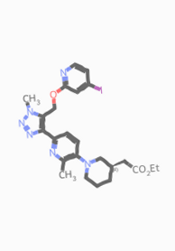 CCOC(=O)C[C@H]1CCCN(c2ccc(-c3nnn(C)c3COc3cc(I)ccn3)nc2C)C1